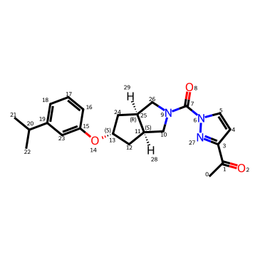 CC(=O)c1ccn(C(=O)N2C[C@H]3C[C@H](Oc4cccc(C(C)C)c4)C[C@H]3C2)n1